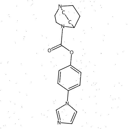 O=C(Oc1ccc(-n2ccnc2)cc1)N1CCN2CCC1CC2